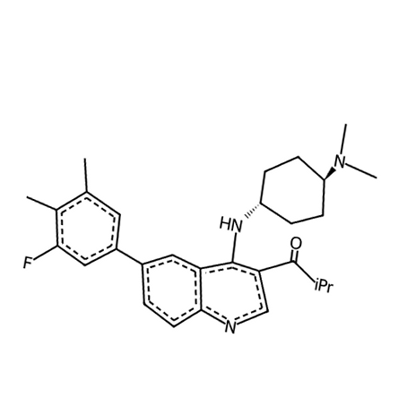 Cc1cc(-c2ccc3ncc(C(=O)C(C)C)c(N[C@H]4CC[C@H](N(C)C)CC4)c3c2)cc(F)c1C